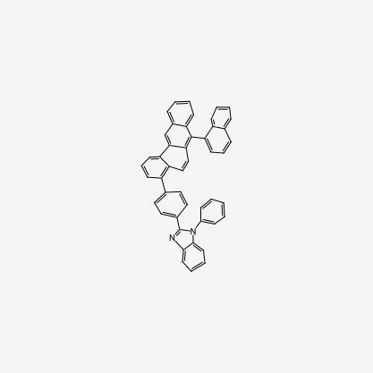 c1ccc(-n2c(-c3ccc(-c4cccc5c4ccc4c(-c6cccc7ccccc67)c6ccccc6cc45)cc3)nc3ccccc32)cc1